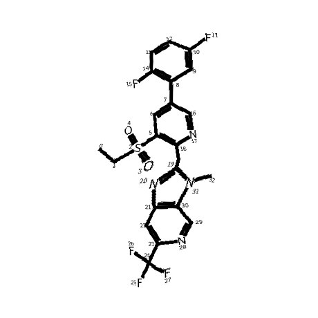 CCS(=O)(=O)c1cc(-c2cc(F)ccc2F)cnc1-c1nc2cc(C(F)(F)F)ncc2n1C